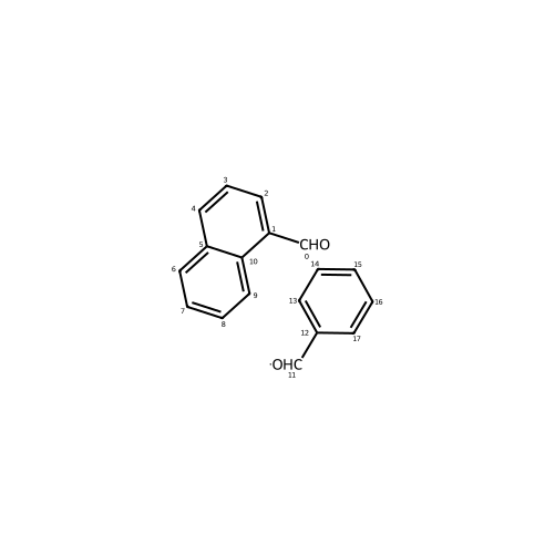 O=Cc1cccc2ccccc12.O=[C]c1ccccc1